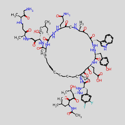 CC(=O)N[C@@H](CC(C)C)C(=O)C(=O)[C@@H](NN[C@@H](Cc1ccc(F)c(F)c1)C(=O)N[C@]1(C)CCCCCC/C=C/CCC[C@@](C)(C(=O)N[C@@H](CO)C(=O)CN[C@@H](C)C(=O)CCN[C@@H](C)C(=O)CN)NC(=O)[C@H](CCC(C)C)NN[C@@H](CCC(N)=O)C(=O)CN[C@@H](C)C(=O)CC(=O)[C@H](Cc2c[nH]c3ccccc23)NN[C@@H](Cc2ccc(O)cc2)C(=O)N[C@@H](CCC(=O)O)C(=O)C1=O)[C@@H](C)O